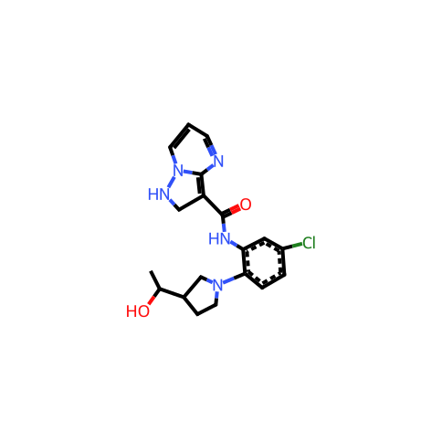 CC(O)C1CCN(c2ccc(Cl)cc2NC(=O)C2=C3N=CC=CN3NC2)C1